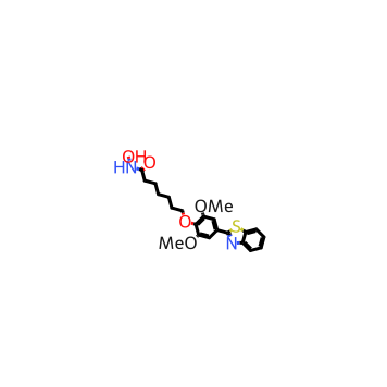 COc1cc(-c2nc3ccccc3s2)cc(OC)c1OCCCCCCC(=O)NO